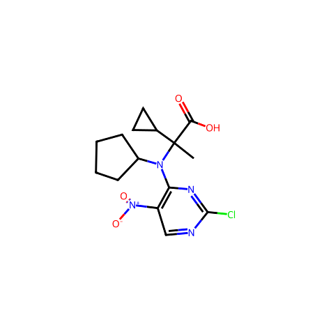 CC(C(=O)O)(C1CC1)N(c1nc(Cl)ncc1[N+](=O)[O-])C1CCCC1